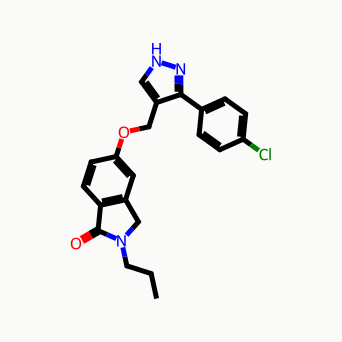 CCCN1Cc2cc(OCc3c[nH]nc3-c3ccc(Cl)cc3)ccc2C1=O